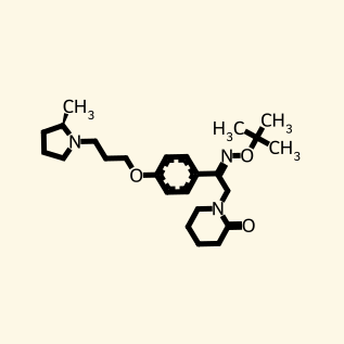 C[C@@H]1CCCN1CCCOc1ccc(/C(CN2CCCCC2=O)=N/OC(C)(C)C)cc1